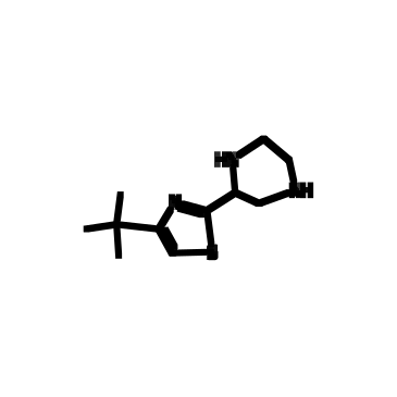 CC(C)(C)c1csc(C2CNCCN2)n1